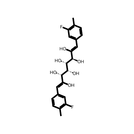 Cc1ccc(C=C(O)[C@@H](O)[C@@H](O)[C@H](O)[C@@H](O)C(O)=Cc2ccc(C)c(F)c2)cc1F